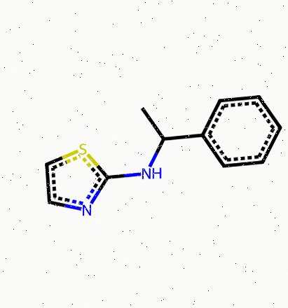 CC(Nc1nccs1)c1ccccc1